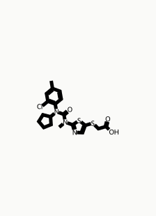 Cc1ccc(N(C(=O)N(C)c2ncc(SCC(=O)O)s2)C2CCCC2)c(Cl)c1